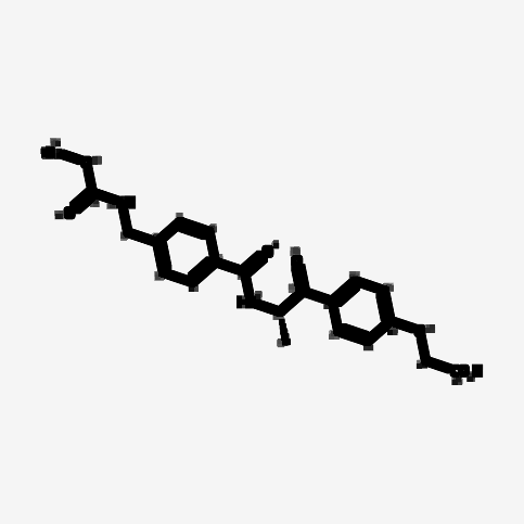 C[C@H](NC(=O)c1ccc(CNC(=O)OC(C)(C)C)cc1)C(=O)c1ccc(OCC(=O)O)cc1